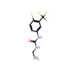 CCNC(=O)Nc1ccc(F)c(C(F)(F)F)c1